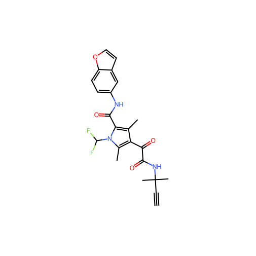 C#CC(C)(C)NC(=O)C(=O)c1c(C)c(C(=O)Nc2ccc3occc3c2)n(C(F)F)c1C